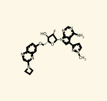 Cn1ccc(-c2cn([C@@H]3O[C@H](COc4ccc5ncc(N6CCC6)nc5c4)[C@@H](O)[C@@H]3F)c3ncnc(N)c23)n1